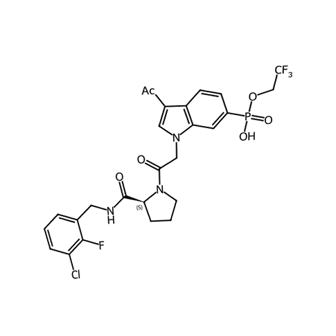 CC(=O)c1cn(CC(=O)N2CCC[C@H]2C(=O)NCc2cccc(Cl)c2F)c2cc(P(=O)(O)OCC(F)(F)F)ccc12